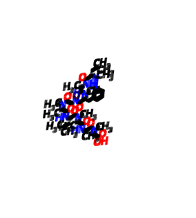 CN[C@@H](CC(C)C)C(=O)N[C@@H](C)C(=O)N(C)[C@@H](Cc1ccccc1)C(=O)NCC(=O)N(C)[C@@H](C)C(=O)N[C@@H](CC(C)C)C(=O)N(C)[C@@H](C)C(=O)N[C@@H](C)C(=O)N(C)CC(=O)O